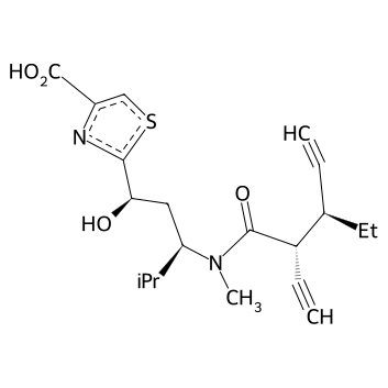 C#C[C@H](C(=O)N(C)[C@H](C[C@@H](O)c1nc(C(=O)O)cs1)C(C)C)[C@@H](C#C)CC